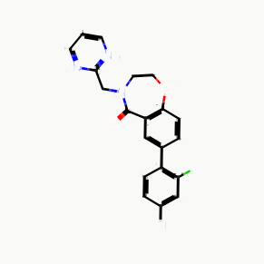 Cc1ccc(-c2ccc3c(c2)C(=O)N(Cc2ncccn2)CCO3)c(Cl)c1